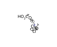 O=C(O)C1(c2ccc(N3CCC(/C=C/c4c(-c5c(Cl)cccc5Cl)noc4C4CC4)CC3)cc2)CC1